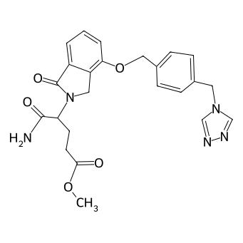 COC(=O)CCC(C(N)=O)N1Cc2c(OCc3ccc(Cn4cnnc4)cc3)cccc2C1=O